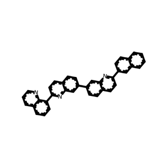 c1ccc2cc(-c3ccc4ccc(-c5ccc6ccc(-c7cccc8cccnc78)nc6c5)cc4n3)ccc2c1